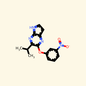 CC(C)c1nc2[nH]ccc2nc1Oc1cccc([N+](=O)[O-])c1